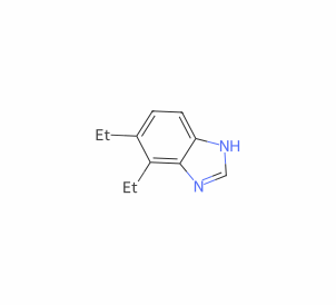 CCc1ccc2[nH]cnc2c1CC